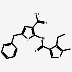 CCc1c(C(=O)Nc2sc(Cc3ccccc3)cc2C(N)=O)csc1C